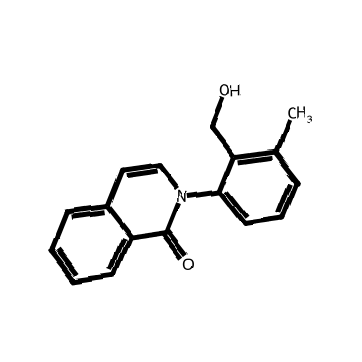 Cc1cccc(-n2ccc3ccccc3c2=O)c1CO